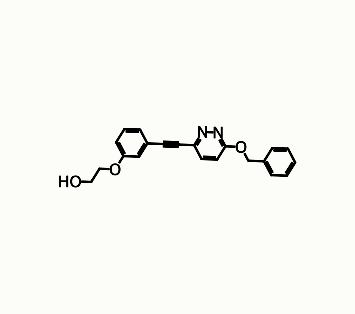 OCCOc1cccc(C#Cc2ccc(OCc3ccccc3)nn2)c1